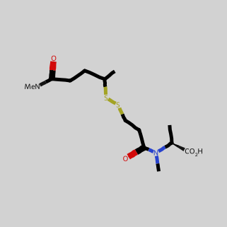 CNC(=O)CCC(C)SSCCC(=O)N(C)[C@@H](C)C(=O)O